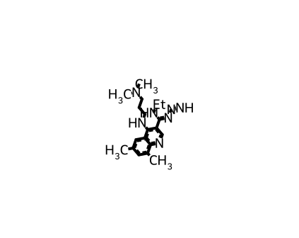 CCN/C(=N\N=N)c1cnc2c(C)cc(C)cc2c1NCCCN(C)C